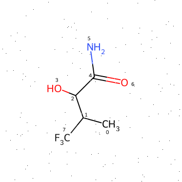 CC(C(O)C(N)=O)C(F)(F)F